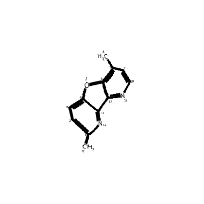 Cc1ccc2oc3c(C)ccnc3c2n1